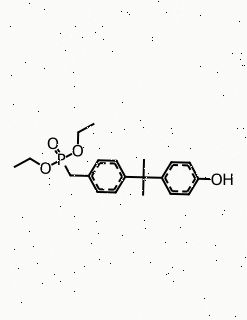 CCOP(=O)(Cc1ccc(C(C)(C)c2ccc(O)cc2)cc1)OCC